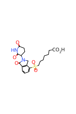 O=C(O)CCCCCCS(=O)(=O)c1cccc2c1CN(C1CCC(=O)NC1=O)C2=O